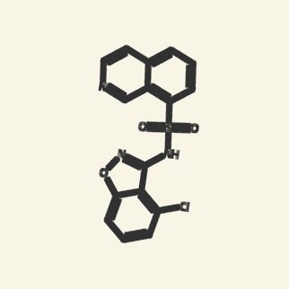 O=S(=O)(Nc1noc2cccc(Cl)c12)c1cccc2ccncc12